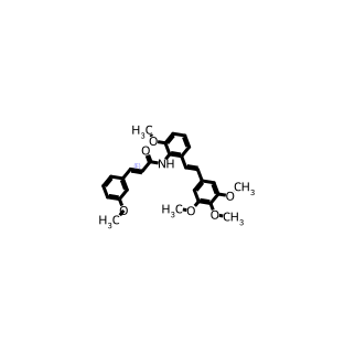 COc1cccc(/C=C/C(=O)Nc2c(C=Cc3cc(OC)c(OC)c(OC)c3)cccc2OC)c1